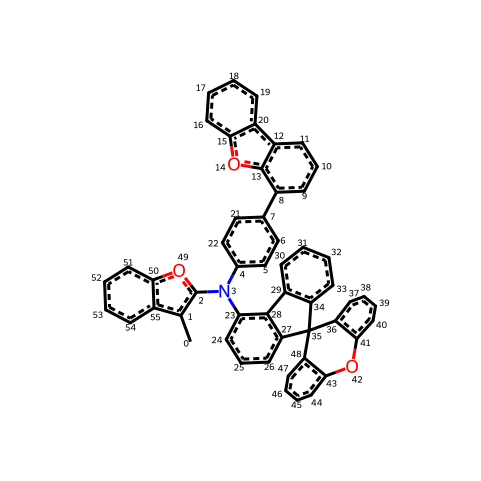 Cc1c(N(c2ccc(-c3cccc4c3oc3ccccc34)cc2)c2cccc3c2-c2ccccc2C32c3ccccc3Oc3ccccc32)oc2ccccc12